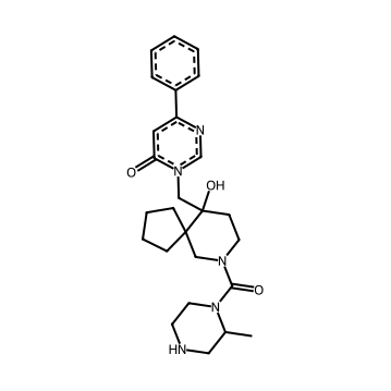 CC1CNCCN1C(=O)N1CCC(O)(Cn2cnc(-c3ccccc3)cc2=O)C2(CCCC2)C1